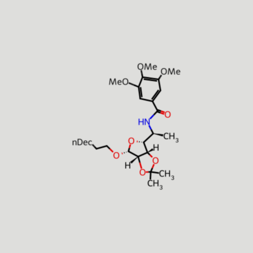 CCCCCCCCCCCCO[C@@H]1O[C@H]([C@H](C)NC(=O)c2cc(OC)c(OC)c(OC)c2)[C@@H]2OC(C)(C)O[C@H]12